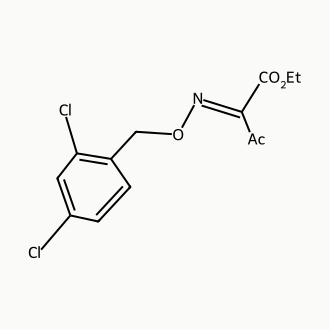 CCOC(=O)C(=NOCc1ccc(Cl)cc1Cl)C(C)=O